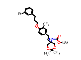 CCc1cccc(CCCOc2ccc(CCC3(NC(=O)OC(C)(C)C)COC(C)(C)OC3)cc2C(F)(F)F)c1